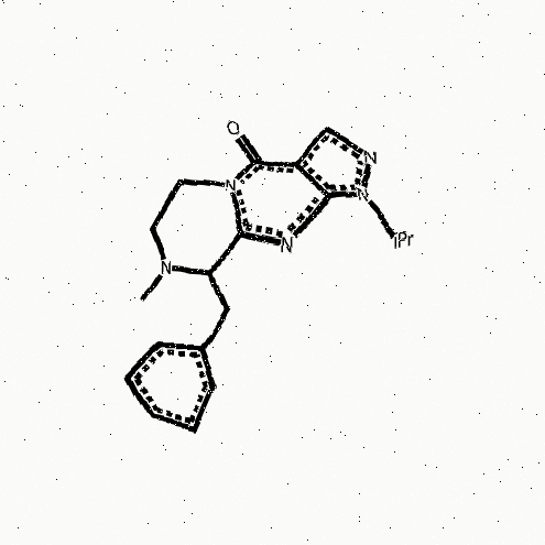 CC(C)n1ncc2c(=O)n3c(nc21)C(Cc1ccccc1)N(C)CC3